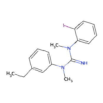 CCc1cccc(N(C)C(=N)N(C)c2ccccc2I)c1